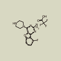 Nc1nc(N2CCNCC2)c2oc3cccc(F)c3c2n1.O=C(O)C(F)(F)F